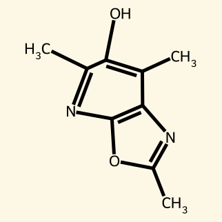 Cc1nc2c(C)c(O)c(C)nc2o1